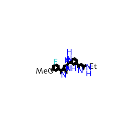 CCNCc1cncc(-c2ccc3[nH]nc(-c4cc5c(-c6cc(F)cc(OC)c6)cncc5[nH]4)c3c2)c1